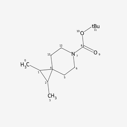 CC1C(C)C12CCN(C(=O)OC(C)(C)C)CC2